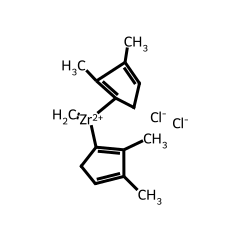 [CH2]=[Zr+2]([C]1=C(C)C(C)=CC1)[C]1=C(C)C(C)=CC1.[Cl-].[Cl-]